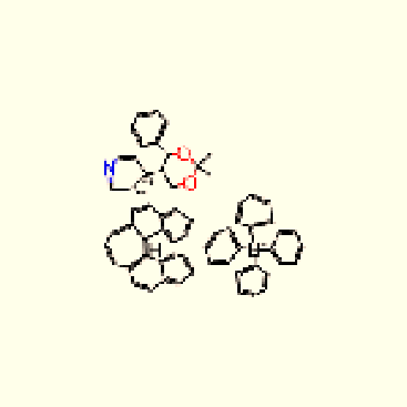 C1=Cc2ccc3ccccc3c2[C@H]2C(=C1)C=Cc1ccccc12.CC1(C)OC[C@@H](C2=[C+]CC=NC=C2)[C@H](c2ccccc2)O1.c1ccc([B-](c2ccccc2)(c2ccccc2)c2ccccc2)cc1